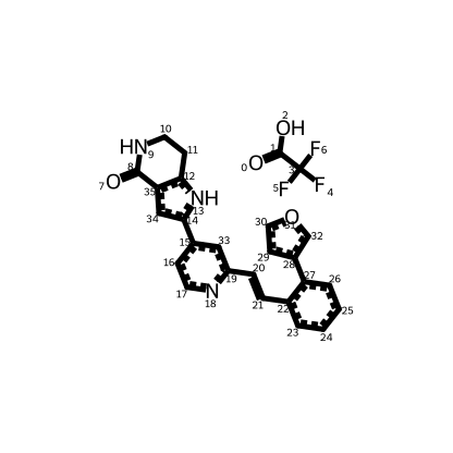 O=C(O)C(F)(F)F.O=C1NCCc2[nH]c(-c3ccnc(/C=C/c4ccccc4-c4ccoc4)c3)cc21